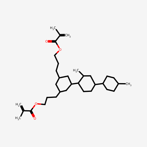 C=C(C)C(=O)OCCCC1CC(CCCOC(=O)C(=C)C)CC(C2CCC(C3CCC(C)CC3)CC2C)C1